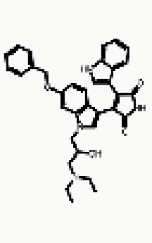 CCN(CC)CC(O)Cn1cc(C2=C(c3c[nH]c4ccccc34)C(=O)NC2=O)c2ccc(OCc3ccccc3)cc21